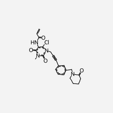 C=CC(=O)Nc1c(Cl)n(CC#Cc2cccc(CN3CCCCC3=O)c2)c(=O)n(C)c1=O